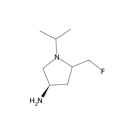 CC(C)N1C[C@H](N)CC1CF